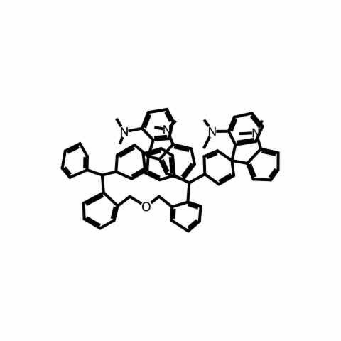 CN(C)c1ccccc1C1(c2ccccc2N(C)C)C=CC(C(c2ccccc2)c2ccccc2COCc2ccccc2C(c2ccccc2)C2C=CC(c3ccccc3N(C)C)(c3ccccc3N(C)C)C=C2)C=C1